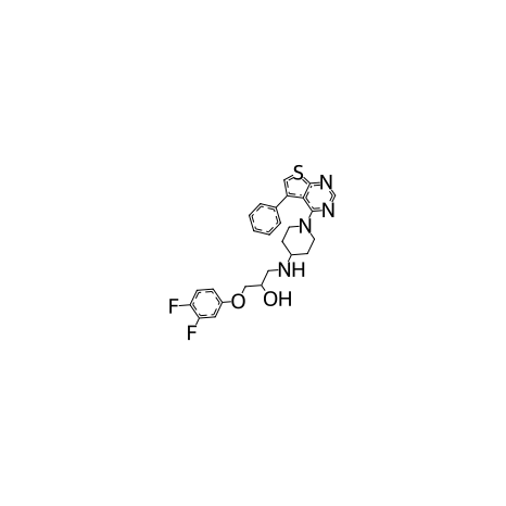 OC(CNC1CCN(c2ncnc3scc(-c4ccccc4)c23)CC1)COc1ccc(F)c(F)c1